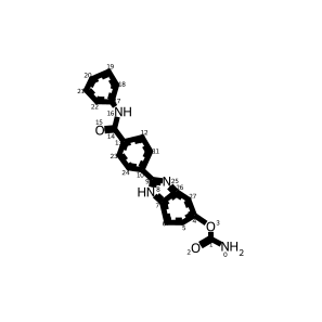 NC(=O)Oc1ccc2[nH]c(-c3ccc(C(=O)Nc4ccccc4)cc3)nc2c1